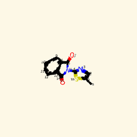 Cc1cnc(N2C(=O)c3ccccc3C2=O)s1